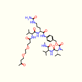 CNC(=O)C(NC(=O)[C@@H](C(C)C)N(C)C(=O)OCc1ccc(NC(=O)[C@H](CCCNC(N)=O)NC(=O)[C@@H](NC(=O)CCOCCOCCC(C)=O)C(C)C)cc1)C(C)C